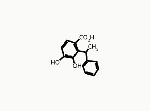 CC(c1ccccc1)c1c(C(=O)O)ccc(O)c1O